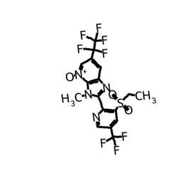 CCS(=O)(=O)c1cc(C(F)(F)F)cnc1-c1nc2cc(C(F)(F)C(F)(F)F)c[n+]([O-])c2n1C